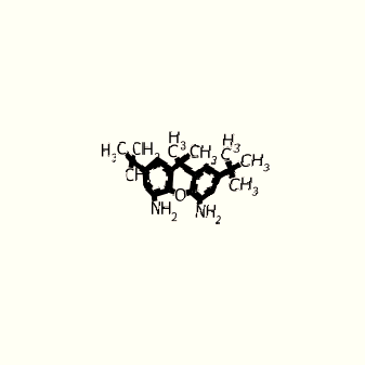 CC(C)(C)c1cc(N)c2c(c1)C(C)(C)c1cc(C(C)(C)C)cc(N)c1O2